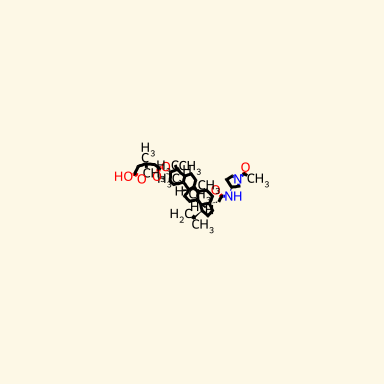 C=C(C)[C@@H]1CC[C@]2(CC(=O)N[C@@H]3CCN(C(C)=O)C3)CC[C@]3(C)[C@H](CC[C@@H]4[C@@]5(C)CC[C@H](OC(=O)CC(C)(C)CC(=O)O)C(C)(C)[C@@H]5CC[C@]43C)[C@@H]12